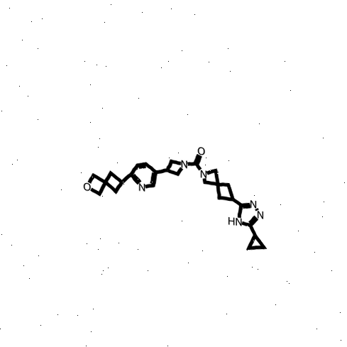 O=C(N1CC(c2ccc(C3CC4(COC4)C3)nc2)C1)N1CC2(CC(c3nnc(C4CC4)[nH]3)C2)C1